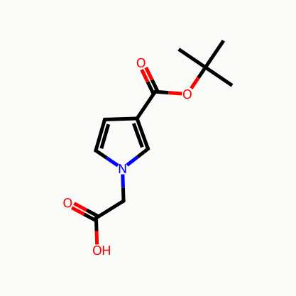 CC(C)(C)OC(=O)c1ccn(CC(=O)O)c1